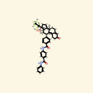 C[C@]12C[C@H](c3ccc(C(=O)Nc4ccc(C(=O)Nc5ccccc5)cc4)cc3)C3=C4CCC(=O)C=C4CC[C@H]3[C@@H]1CC[C@@]2(O)C(F)(F)C(F)(F)F